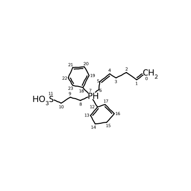 C=CCC/C=C\C[PH](CCCS(=O)(=O)O)(C1=CCCC=C1)c1ccccc1